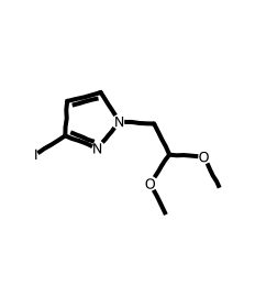 COC(Cn1ccc(I)n1)OC